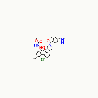 CCc1cccc(-c2c(Cl)cccc2[C@](O)(CCCNC(=O)OC)[C@@H]2CCCN(C(=O)c3ccc(CNC)cc3C)C2)c1